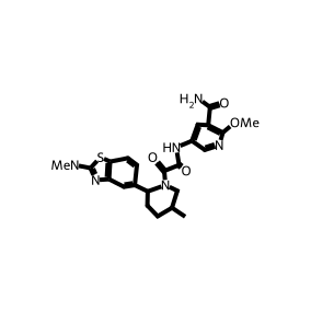 CNc1nc2cc(C3CCC(C)CN3C(=O)C(=O)Nc3cnc(OC)c(C(N)=O)c3)ccc2s1